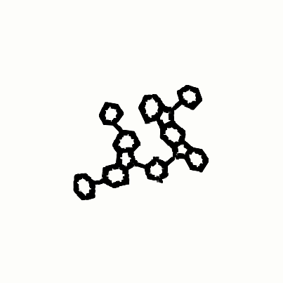 c1ccc(-c2ccc3c(c2)c2cc(-c4ccccc4)ccc2n3-c2cncc(-n3c4ccccc4c4cc5c(cc43)c3ccccc3n5-c3ccccc3)n2)cc1